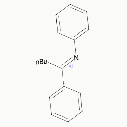 CCCC/C(=N\c1ccccc1)c1ccccc1